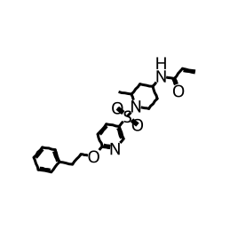 C=CC(=O)NC1CCN(S(=O)(=O)c2ccc(OCCc3ccccc3)nc2)C(C)C1